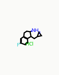 Cl.NC1CCc2cc(F)ccc2C1CC1CC1